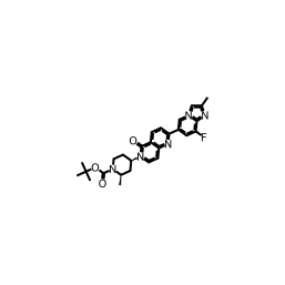 Cc1cn2cc(-c3ccc4c(=O)n([C@@H]5CCN(C(=O)OC(C)(C)C)[C@H](C)C5)ccc4n3)cc(F)c2n1